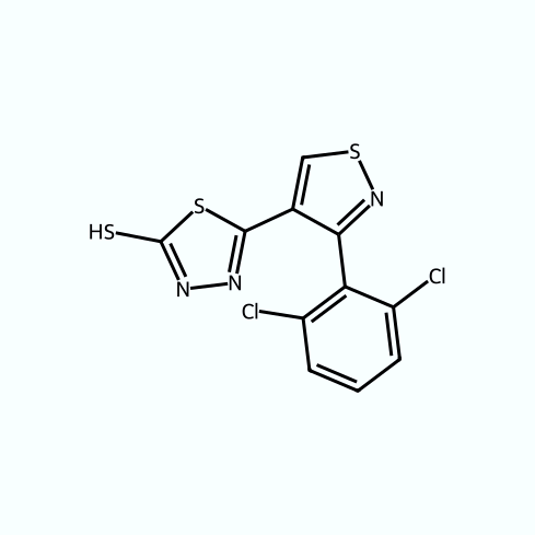 Sc1nnc(-c2csnc2-c2c(Cl)cccc2Cl)s1